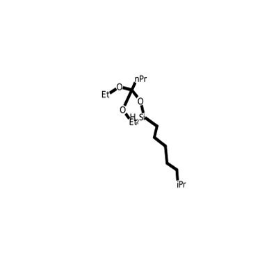 CCCC(OCC)(OCC)O[SiH2]CCCCCC(C)C